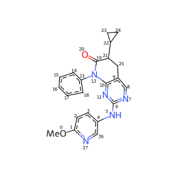 COc1ccc(Nc2ncc3c(n2)N(c2ccccc2)C(=O)C(C2CC2)C3)cn1